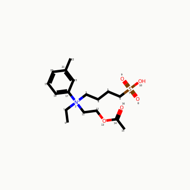 CC[N+](CCCCS(=O)(=O)O)(CCOC(C)=O)c1cccc(C)c1